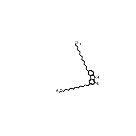 CCCCCCCCCCCCc1ccc2[nH]c3c(Br)cc(CCCCCCCCCCCC)cc3c2c1